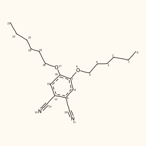 CCCCCCOc1cc(C#N)c(C#N)cc1OCCCCCC